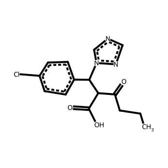 CCCC(=O)C(C(=O)O)C(c1ccc(Cl)cc1)n1cncn1